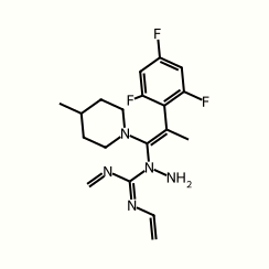 C=C/N=C(/N=C)N(N)/C(=C(\C)c1c(F)cc(F)cc1F)N1CCC(C)CC1